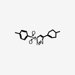 Cc1ccc(S(=O)(=O)n2cc(C3=CCC(C)CC3)nn2)cc1